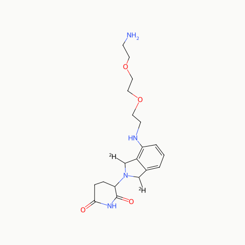 [2H]C1c2cccc(NCCOCCOCCN)c2C([2H])N1C1CCC(=O)NC1=O